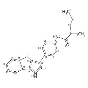 CCCC(C)C(=O)Nc1ccc(-c2n[nH]c3c2Cc2ccccc2-3)cc1